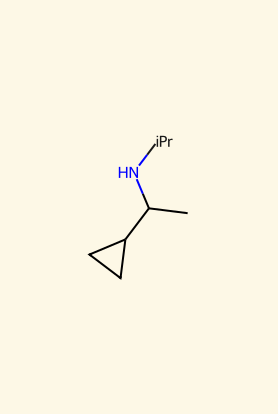 CC(C)NC(C)C1CC1